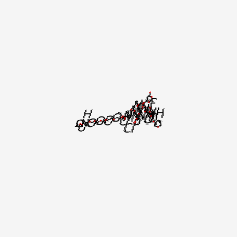 Cc1cc(F)cc(-c2cnc(N3CCN(C(=O)CCOCCOCCOCCOCCNC(=O)OC(C)(C)C)CC3)c(-c3nc4cc(Cl)ccc4[nH]3)c2N2CCC(NC(=O)OCc3ccccc3)CC2)c1